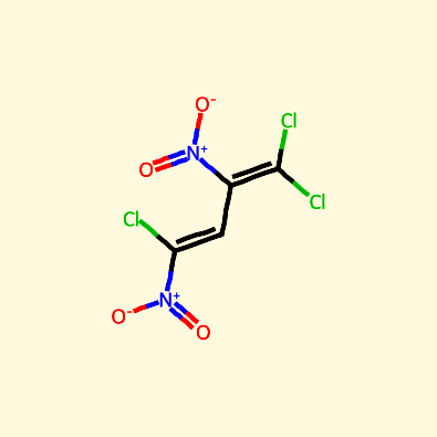 O=[N+]([O-])C(/C=C(\Cl)[N+](=O)[O-])=C(Cl)Cl